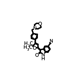 CC1(C)OC(=C2C(=O)Nc3ccc(C#N)cc32)C=C1c1ccc(CN2CCOCC2)cc1